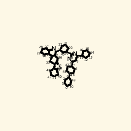 c1ccc(-c2ccc(-c3cc(-c4ccccc4)nc(-c4cccc(-c5nc6ccccc6c6cc7c(cc56)sc5ccccc57)c4)n3)cc2)cc1